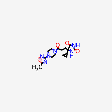 Cc1nc(N2CCN(C(=O)CCC3(C4CC4)NC(=O)NC3=O)CC2)no1